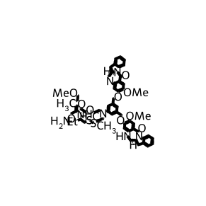 CC=C(CON)NC(CC)CSSC(C)(C)CN(CCOCCOCCOC)c1cc(COc2cc3c(cc2OC)C(=O)N2c4ccccc4C[C@H]2C=N3)cc(COc2cc3c(cc2OC)C(=O)N2c4ccccc4C[C@H]2CN3)c1